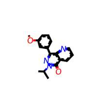 COc1cccc(-c2nn(C(C)C)c(=O)c3cccnc23)c1